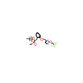 CCOC(=O)[C@H](Cc1ccccc1OCc1ccnc(OCCC(F)(F)F)n1)O[Si](C)(C)C(C)(C)C